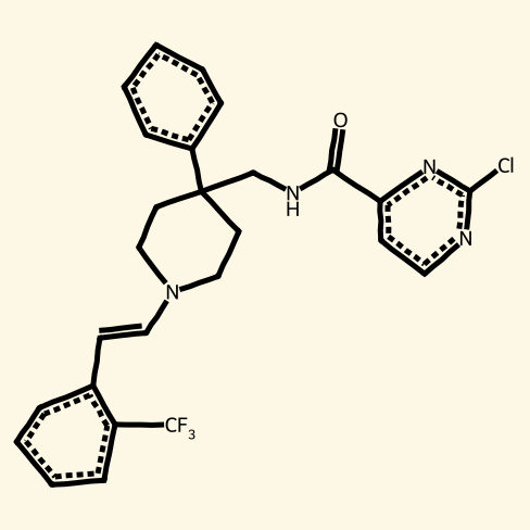 O=C(NCC1(c2ccccc2)CCN(C=Cc2ccccc2C(F)(F)F)CC1)c1ccnc(Cl)n1